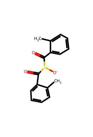 Cc1ccccc1C(=O)[S+]([O-])C(=O)c1ccccc1C